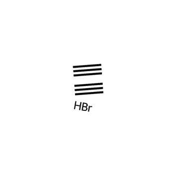 Br.C#C.C#C